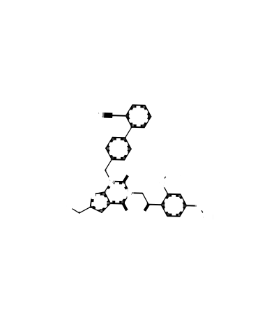 CCc1cc2c(=O)n(CC(=O)c3ccc(OC)cc3OC)c(=O)n(Cc3ccc(-c4ccccc4C#N)cc3)c2s1